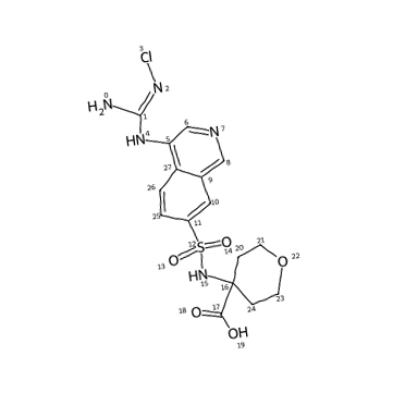 NC(=NCl)Nc1cncc2cc(S(=O)(=O)NC3(C(=O)O)CCOCC3)ccc12